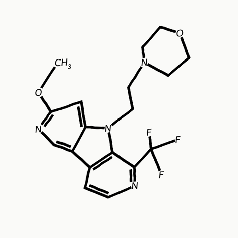 COc1cc2c(cn1)c1ccnc(C(F)(F)F)c1n2CCN1CCOCC1